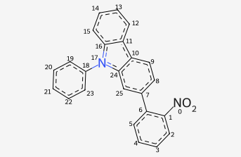 O=[N+]([O-])c1ccccc1-c1ccc2c3ccccc3n(-c3ccccc3)c2c1